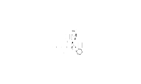 C=C(C)C(=O)NCC(=O)N[C@@H](Cc1ccccc1)C(=O)O